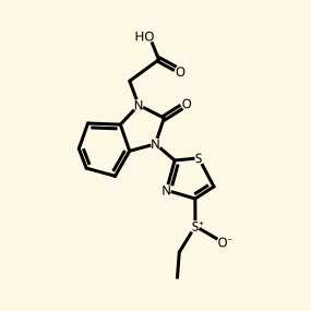 CC[S+]([O-])c1csc(-n2c(=O)n(CC(=O)O)c3ccccc32)n1